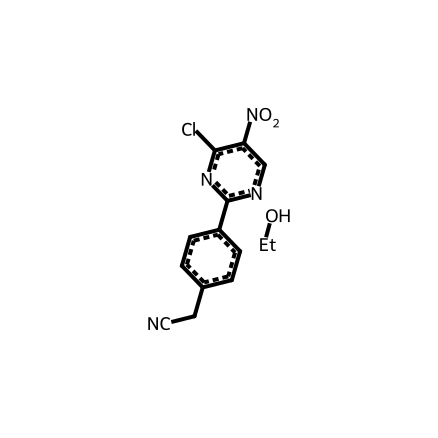 CCO.N#CCc1ccc(-c2ncc([N+](=O)[O-])c(Cl)n2)cc1